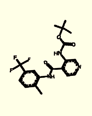 Cc1ccc(C(F)(F)F)cc1NC(=O)c1ccncc1NC(=O)OC(C)(C)C